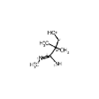 C/N=C(\S)C(C)(C)CO